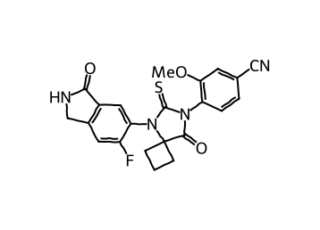 COc1cc(C#N)ccc1N1C(=O)C2(CCC2)N(c2cc3c(cc2F)CNC3=O)C1=S